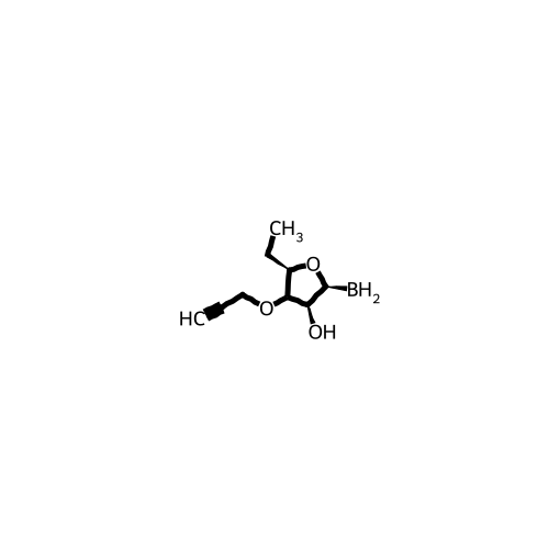 B[C@@H]1O[C@H](CC)C(OCC#C)[C@@H]1O